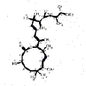 CC[C@H](OC)[C@@H](C)[C@H]1O[C@@H]1C(N)C(C)(O)/C=C/C=C(\C)C1OC(=O)C[C@H](O)CC[C@@](C)(O)[C@@H](OC(C)=O)/C=C/[C@@H]1C